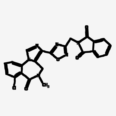 CN1Cc2c(-c3nc(CN4C(=O)c5ccccc5C4=O)no3)ncn2-c2cccc(Cl)c2C1=O